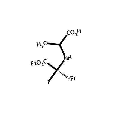 CCC[C@@](I)(NC(C)C(=O)O)C(=O)OCC